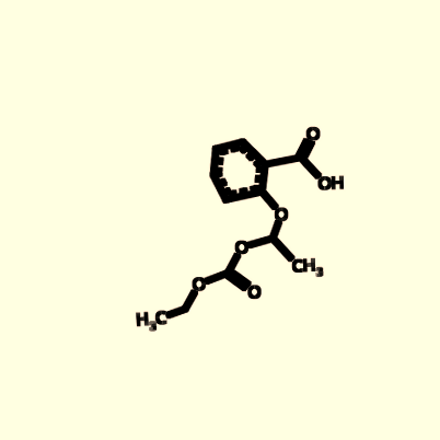 CCOC(=O)OC(C)Oc1ccccc1C(=O)O